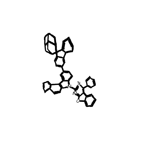 c1ccc(-c2nc(-n3c4ccc(-c5ccc6c(c5)-c5ccccc5C65C6CC7CC(C6)CC5C7)cc4c4c5ccccc5ccc43)nc3oc4ccccc4c23)cc1